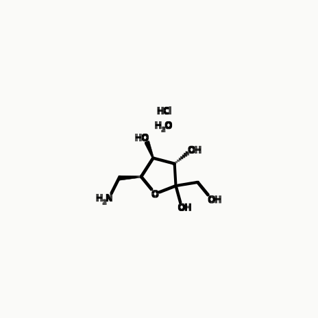 Cl.NC[C@@H]1OC(O)(CO)[C@@H](O)[C@@H]1O.O